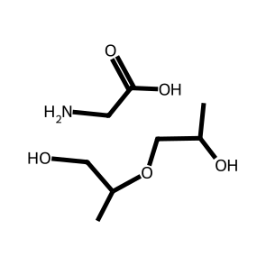 CC(O)COC(C)CO.NCC(=O)O